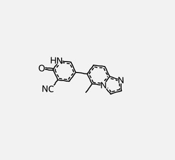 Cc1c(-c2c[nH]c(=O)c(C#N)c2)ccc2nccn12